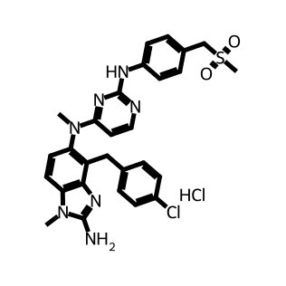 CN(c1ccnc(Nc2ccc(CS(C)(=O)=O)cc2)n1)c1ccc2c(nc(N)n2C)c1Cc1ccc(Cl)cc1.Cl